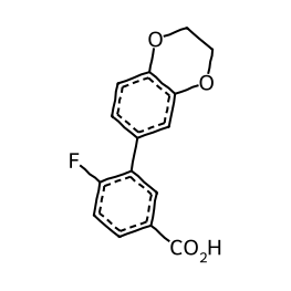 O=C(O)c1ccc(F)c(-c2ccc3c(c2)OCCO3)c1